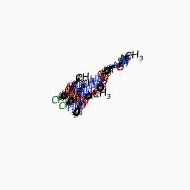 CC(=O)c1ccc(S(=O)(=O)NC(=O)NC2CCCCC2)cc1.CCCNC(=O)NS(=O)(=O)c1ccc(Cl)cc1.CCCNC(=O)NS(=O)(=O)c1ccc(Cl)cc1.Cc1cnc(C(=O)NCCc2ccc(S(=O)(=O)NC(=O)NC3CCCCC3)cc2)cn1